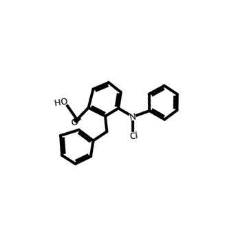 O=C(O)c1cccc(N(Cl)c2ccccc2)c1Cc1ccccc1